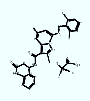 Cc1cc(OCc2c(F)cccc2F)n2nc(C)c(C(=O)NC3CC(=O)Nc4ccccc43)c2c1.O=C(O)C(F)(F)F